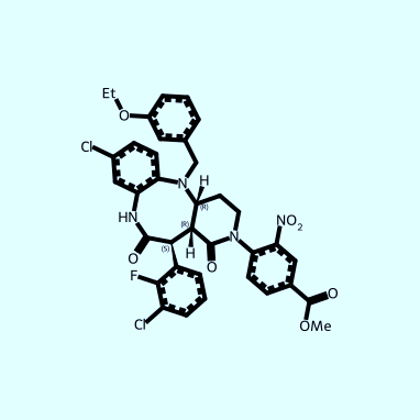 CCOc1cccc(CN2c3ccc(Cl)cc3NC(=O)[C@H](c3cccc(Cl)c3F)[C@H]3C(=O)N(c4ccc(C(=O)OC)cc4[N+](=O)[O-])CC[C@H]32)c1